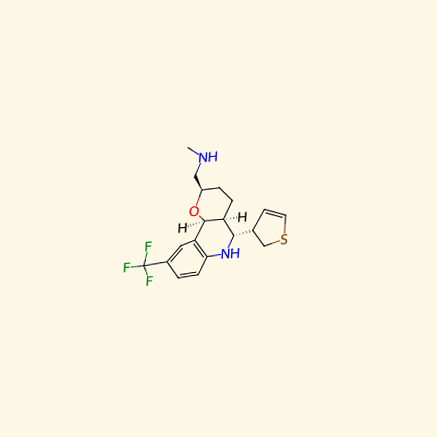 CNC[C@H]1CC[C@@H]2[C@H](O1)c1cc(C(F)(F)F)ccc1N[C@H]2C1C=CSC1